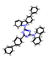 C1=Cc2c(n(-c3nc(-c4ccc(-c5ccccc5)cc4)nc(-n4c5ccccc5c5ccccc54)n3)c3ccc(-c4ccccc4)cc23)CC1